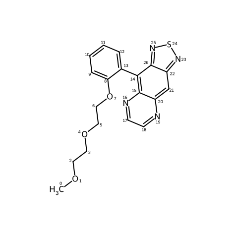 COCCOCCOc1ccccc1-c1c2nccnc2cc2nsnc12